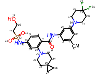 N#Cc1cc(NC(=O)c2ccc(NS(=O)(=O)CCO)cc2N2CCC3(CC2)CC3)cc(N2CCC(F)(F)CC2)c1